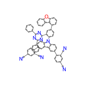 N#Cc1ccc(-c2ccc3c(c2)c2cc(-c4ccc(C#N)cc4C#N)ccc2n3-c2ccc(-c3cccc4oc5ccccc5c34)cc2-c2nc(-c3ccccc3)nc(-c3ccccc3)n2)c(C#N)c1